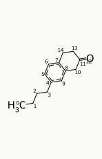 CCCCc1ccc2c(c1)CC(=O)CC2